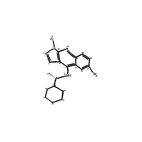 CCn1ncc2c(N[C@@H](C)C3CCCCC3)c3cc(Br)ccc3nc21